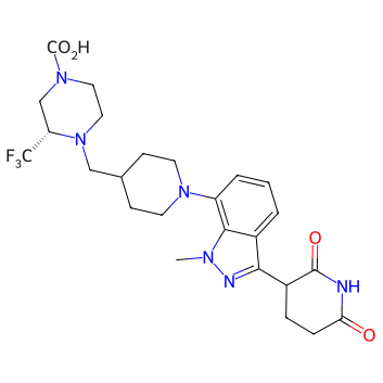 Cn1nc(C2CCC(=O)NC2=O)c2cccc(N3CCC(CN4CCN(C(=O)O)C[C@H]4C(F)(F)F)CC3)c21